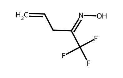 C=CCC(=NO)C(F)(F)F